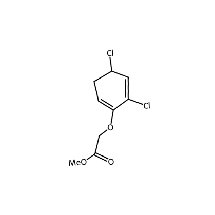 COC(=O)COC1=CCC(Cl)C=C1Cl